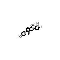 O=C1CCC(N2Cc3c(ccc(N4CCC(OF)CC4)c3F)C2=O)C(=O)N1